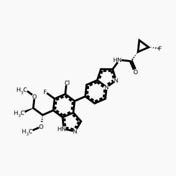 CO[C@H](C)[C@@H](OC)c1c(F)c(Cl)c(-c2ccn3nc(NC(=O)[C@@H]4C[C@@H]4F)cc3c2)c2cn[nH]c12